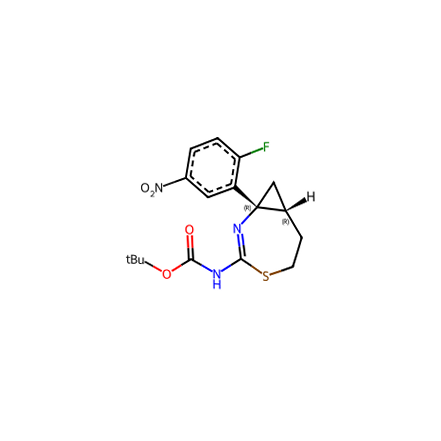 CC(C)(C)OC(=O)NC1=N[C@]2(c3cc([N+](=O)[O-])ccc3F)C[C@@H]2CCS1